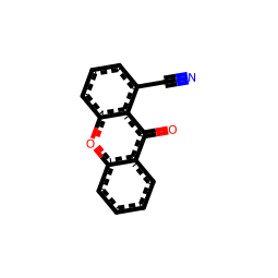 N#Cc1cccc2oc3ccccc3c(=O)c12